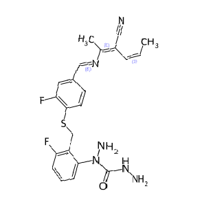 C\C=C/C(C#N)=C(C)\N=C\c1ccc(SCc2c(F)cccc2N(N)C(=O)NN)c(F)c1